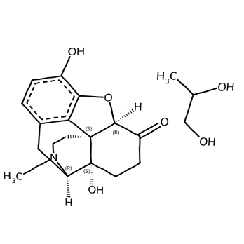 CC(O)CO.CN1CC[C@]23c4c5ccc(O)c4O[C@H]2C(=O)CC[C@@]3(O)[C@H]1C5